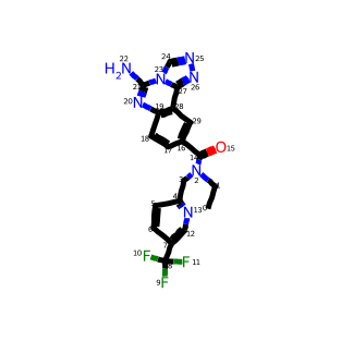 CCN(Cc1ccc(C(F)(F)F)cn1)C(=O)c1ccc2nc(N)n3cnnc3c2c1